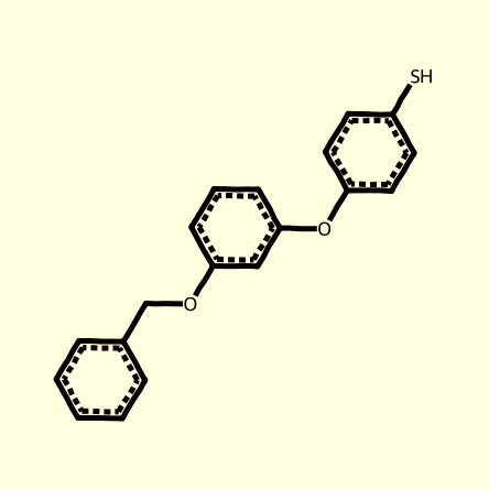 Sc1ccc(Oc2cccc(OCc3ccccc3)c2)cc1